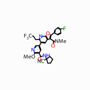 CNC(=O)c1c(-c2ccc(F)cc2)oc2nc(CCC(F)(F)F)c(-c3cnc(OC)c(C(=O)NC4(C#N)CCCC4)c3)cc12